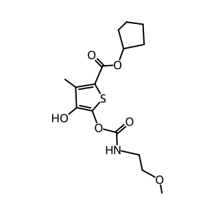 COCCNC(=O)Oc1sc(C(=O)OC2CCCC2)c(C)c1O